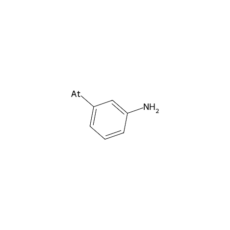 Nc1cccc([At])c1